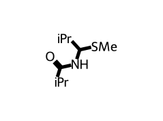 CSC(NC(=O)C(C)C)C(C)C